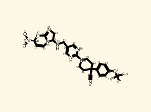 N#CC1(c2ccc(OC(F)(F)F)cc2)CCN(c2ncc(CNC3CN=C4O[C@H]([N+](=O)[O-])C=CN43)cn2)CC1